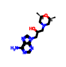 C[C@@H]1CN(CC(O)Cn2cnc3c(N)ncnc32)C[C@H](C)O1